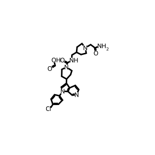 NC(=O)CN1CCC(CNC(=O)N2CCC(c3cn(-c4ccc(Cl)cc4)c4cnccc34)CC2)CC1.O=CO